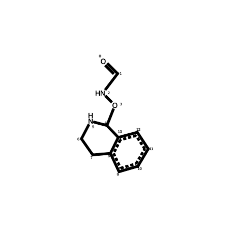 O=CNOC1NCCc2ccccc21